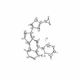 C[C@@H]1CO[C@@H](C)CN1c1nc2c(-c3noc(C4CC4)n3)ncn2c2cccc(F)c12